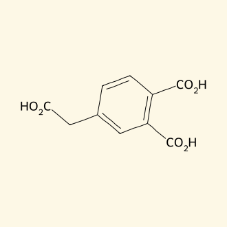 O=C(O)Cc1ccc(C(=O)O)c(C(=O)O)c1